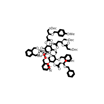 CCCCCCCCCCCC(=O)O[C@H](CCCCCCCCCCC)CC(=O)N[C@H]1C(OC[C@H]2O[C@@H](O[Si](C)(C)C(C)(C)C)[C@H](N=[N+]=[N-])[C@@H](OC(=O)C[C@@H](CCCCCCCCCCC)OCc3ccccc3)[C@@H]2OCc2ccccc2)O[C@H](COCc2ccccc2)[C@@H](OP2(=O)OCc3ccccc3CO2)[C@@H]1OC(=O)C[C@@H](CCCCCCCCCCC)OCc1ccc(OC)cc1